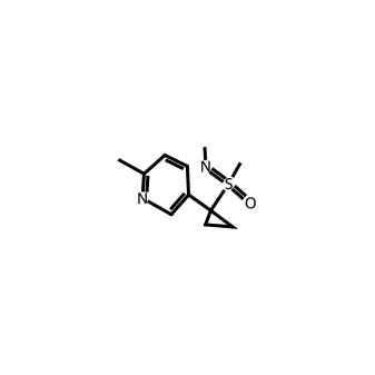 CN=S(C)(=O)C1(c2ccc(C)nc2)CC1